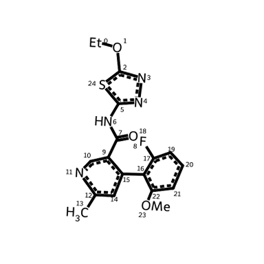 CCOc1nnc(NC(=O)c2cnc(C)cc2-c2c(F)cccc2OC)s1